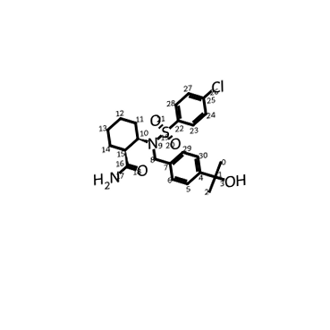 CC(C)(O)c1ccc(CN([C@@H]2CCCC[C@@H]2C(N)=O)S(=O)(=O)c2ccc(Cl)cc2)cc1